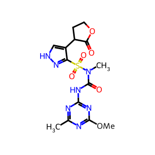 COc1nc(C)nc(NC(=O)N(C)S(=O)(=O)c2n[nH]cc2C2CCOC2=O)n1